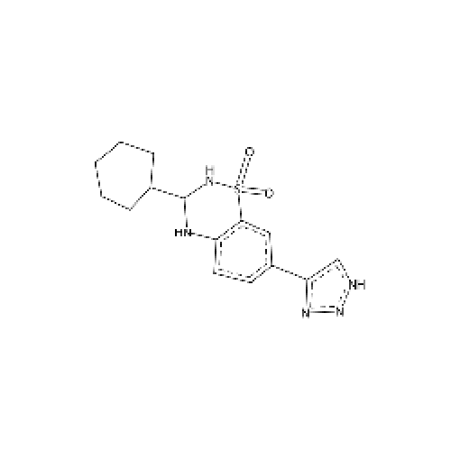 O=S1(=O)NC(C2CCCCC2)Nc2ccc(-c3c[nH]nn3)cc21